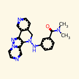 CN(C)C(=O)c1cccc(NN2Cc3ccncc3-c3nn4ccncc4c32)c1